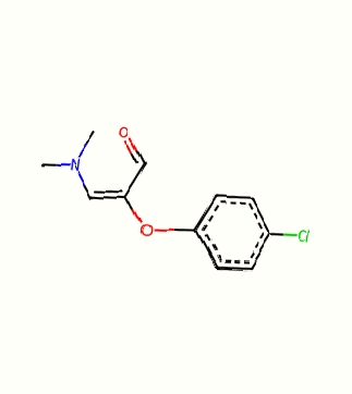 CN(C)C=C(C=O)Oc1ccc(Cl)cc1